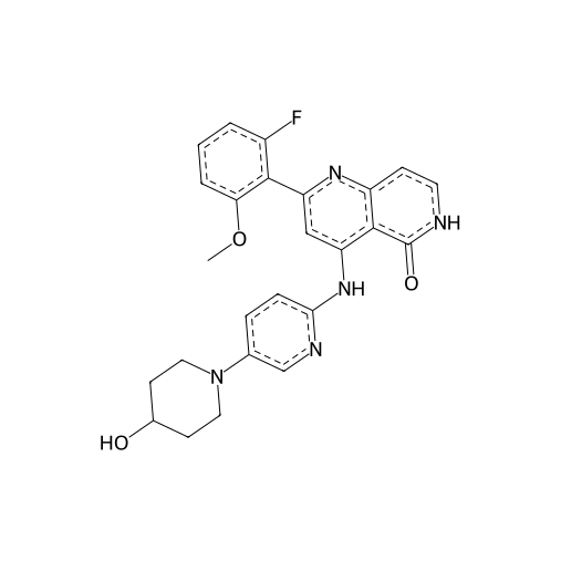 COc1cccc(F)c1-c1cc(Nc2ccc(N3CCC(O)CC3)cn2)c2c(=O)[nH]ccc2n1